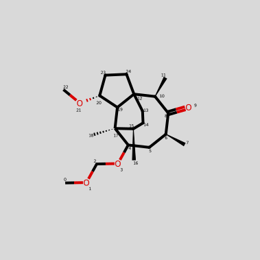 COCOC1C[C@H](C)C(=O)[C@H](C)C23CC[C@@H](C)[C@]1(C)C2[C@H](OC)CC3